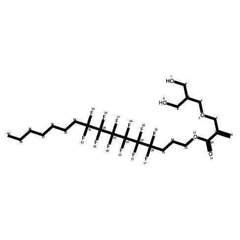 C=C(COCC(CO)CO)C(=O)OCCCC(F)(F)C(F)(F)C(F)(F)C(F)(F)C(F)(F)C(F)(F)CCCCCCC